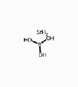 OB(O)O.[SrH2]